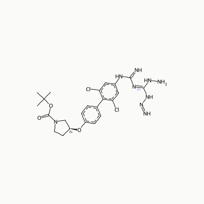 CC(C)(C)OC(=O)N1CC[C@H](Oc2ccc(-c3c(Cl)cc(NC(=N)/N=C(\NN)NN=N)cc3Cl)cc2)C1